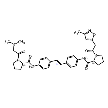 Cc1cc(CC(=O)N2CCC[C@H]2C(=O)Nc2ccc(/C=C/c3ccc(NC(=O)[C@@H]4CCCN4C(=O)CN(C)C)cc3)cc2)on1